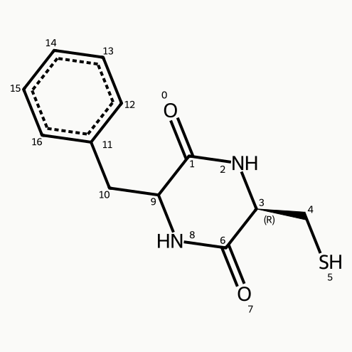 O=C1N[C@@H](CS)C(=O)NC1Cc1ccccc1